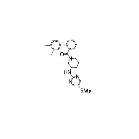 CSc1cnc(NC2CCCN(C(=O)c3ccccc3-c3ccc(C)c(C)c3)C2)nc1